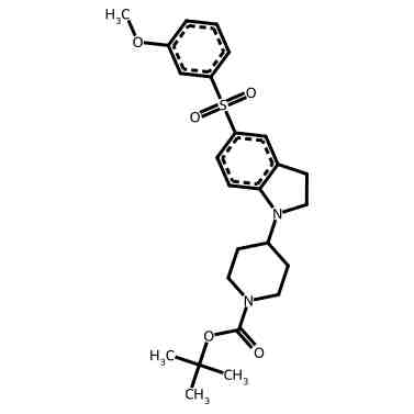 COc1cccc(S(=O)(=O)c2ccc3c(c2)CCN3C2CCN(C(=O)OC(C)(C)C)CC2)c1